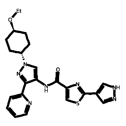 CCO[C@H]1CC[C@H](n2cc(NC(=O)c3csc(-c4cn[nH]c4)n3)c(-c3ccccn3)n2)CC1